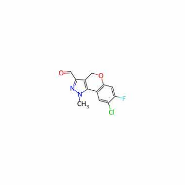 Cn1nc(C=O)c2c1-c1cc(Cl)c(F)cc1OC2